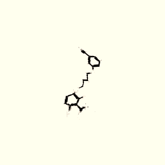 N#Cc1cccc(OCCCCOc2ccc(F)c(C(N)=O)c2F)c1